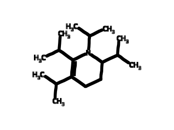 CC(C)C1=C(C(C)C)N(C(C)C)C(C(C)C)CC1